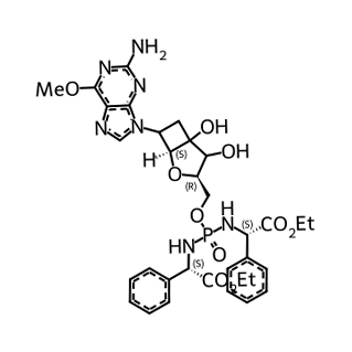 CCOC(=O)[C@@H](NP(=O)(N[C@H](C(=O)OCC)c1ccccc1)OC[C@H]1O[C@H]2C(n3cnc4c(OC)nc(N)nc43)CC2(O)C1O)c1ccccc1